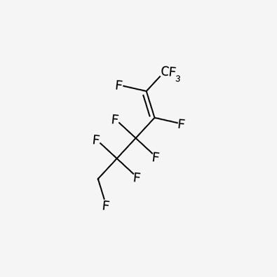 FCC(F)(F)C(F)(F)/C(F)=C(\F)C(F)(F)F